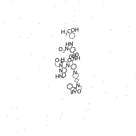 CC(C)c1ccccc1[C@@H]1COCCN1C1CC2(CCN(c3ccc(C(=O)NS(=O)(=O)c4ccc(NC[C@H]5CC[C@](C)(O)CC5)c([N+](=O)[O-])c4)c(N4CC[C@@H]5COCCCN5c5nc6[nH]ccc6cc54)c3)CC2)C1